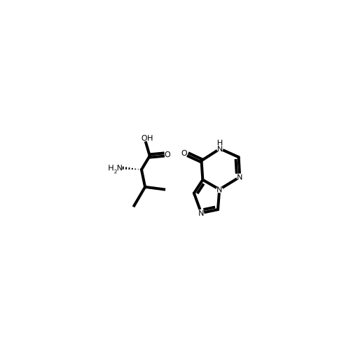 CC(C)[C@H](N)C(=O)O.O=c1[nH]cnn2cncc12